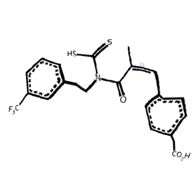 C/C(=C/c1ccc(C(=O)O)cc1)C(=O)N(Cc1cccc(C(F)(F)F)c1)C(=S)S